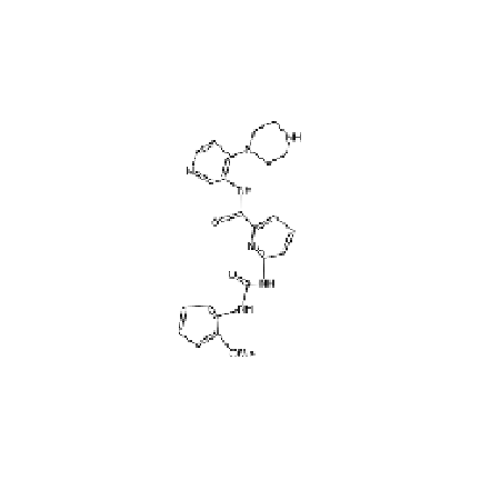 COc1ccccc1NC(=O)Nc1cccc(C(=O)Nc2cnccc2N2CCNCC2)n1